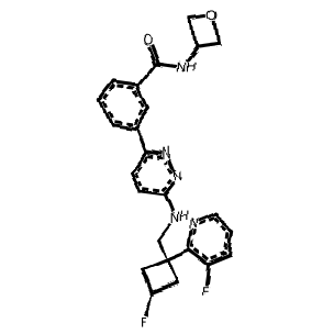 O=C(NC1COC1)c1cccc(-c2ccc(NC[C@]3(c4ncccc4F)C[C@H](F)C3)nn2)c1